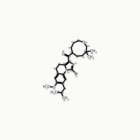 COc1cc2c(cc1CC(C)C)-n1c(Br)nc(C(=O)C3CCCOCC(C)(C)CC3)c1CC2